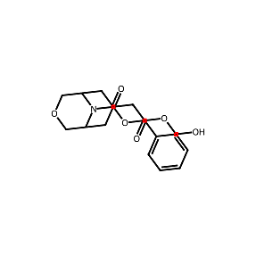 O=C(CC1CC2COCC(C1)N2C(=O)OCc1ccccc1)OCO